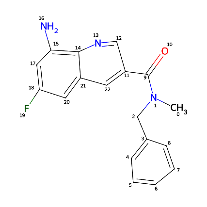 CN(Cc1ccccc1)C(=O)c1cnc2c(N)cc(F)cc2c1